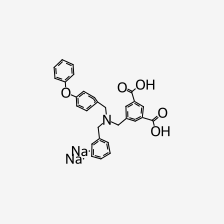 O=C(O)c1cc(CN(Cc2ccccc2)Cc2ccc(Oc3ccccc3)cc2)cc(C(=O)O)c1.[Na].[Na]